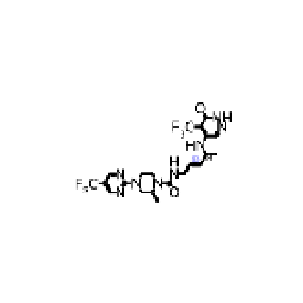 CC1CN(c2ncc(C(F)(F)F)cn2)CCN1C(=O)NC/C=C/[C@H](C)Nc1cn[nH]c(=O)c1C(F)(F)F